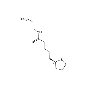 O=C(CCCC[C@@H]1CCSS1)NCCS(=O)(=O)O